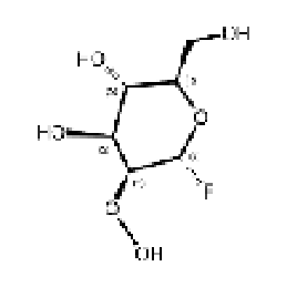 OC[C@H]1O[C@H](F)[C@@H](OO)[C@@H](O)[C@@H]1O